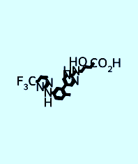 Cc1ccc(Nc2nccc(C(F)(F)F)n2)cc1-c1cnc(NCC(O)CC(=O)O)nc1